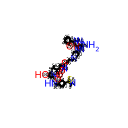 Cc1ncsc1-c1ccc([C@H](C)NC(=O)[C@@H]2C[C@@H](O)CN2C(=O)C(c2cc(OCCCN3CCC(n4nc(N)c5nnc(-c6ccccc6O)cc54)CC3)no2)C(C)C)cc1